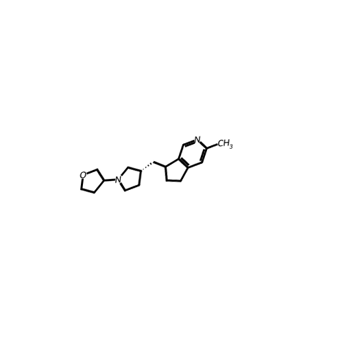 Cc1cc2c(cn1)C(C[C@@H]1CCN(C3CCOC3)C1)CC2